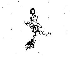 Cc1nnc(SCC2=C(C(=O)O)N3C(=O)C(NC(=O)CNc4ccccc4)[C@@H]3SC2)s1